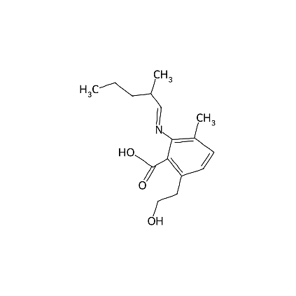 CCCC(C)C=Nc1c(C)ccc(CCO)c1C(=O)O